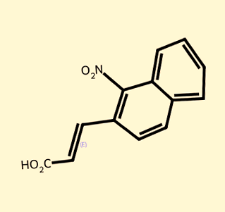 O=C(O)/C=C/c1ccc2ccccc2c1[N+](=O)[O-]